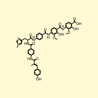 COc1c(NC(=O)c2ccc(NC(=O)c3ccc(NC(=O)C(Cc4cn(C)cn4)NC(=O)c4ccc(NC(=O)/C(C)=C/c5ccc(O)cc5)cc4)cc3)c(OC)c2O)ccc(C(=O)O)c1O